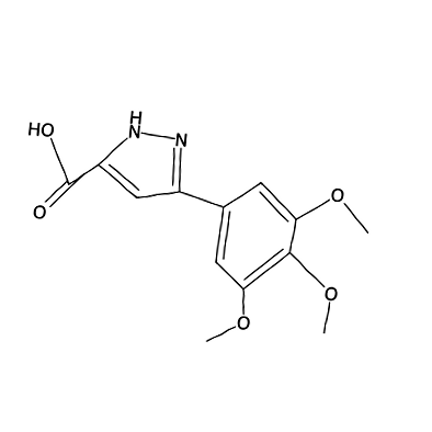 COc1cc(-c2cc(C(=O)O)[nH]n2)cc(OC)c1OC